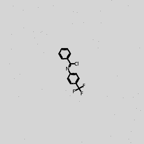 FC(F)(F)c1ccc(N=C(Cl)c2ccccc2)cc1